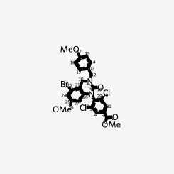 COC(=O)c1cc(Cl)c(N2C(=O)N(Cc3ccc(OC)cc3)Cc3c(Br)cc(OC)cc32)c(Cl)c1